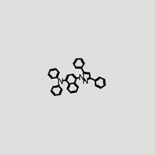 c1ccc(-c2cc(-c3ccccc3)n(-c3ccc(N(c4ccccc4)c4ccccc4)c4ccccc34)n2)cc1